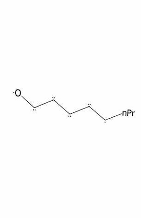 CCC[CH][C][C][C][C][O]